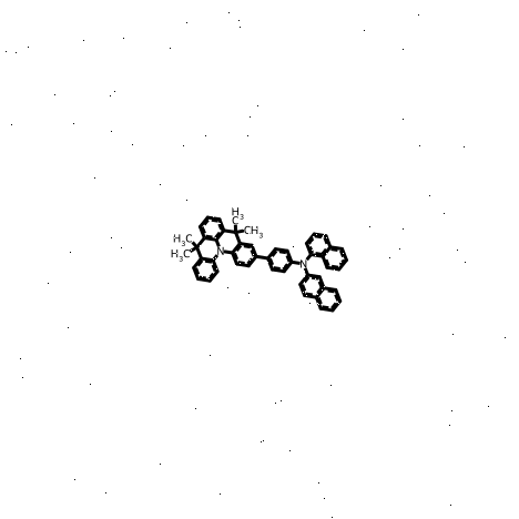 CC1(C)c2ccccc2N2c3ccc(-c4ccc(N(c5ccc6ccccc6c5)c5cccc6ccccc56)cc4)cc3C(C)(C)c3cccc1c32